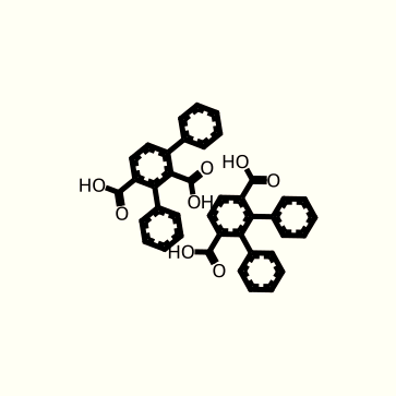 O=C(O)c1ccc(-c2ccccc2)c(C(=O)O)c1-c1ccccc1.O=C(O)c1ccc(C(=O)O)c(-c2ccccc2)c1-c1ccccc1